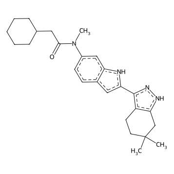 CN(C(=O)CC1CCCCC1)c1ccc2cc(-c3n[nH]c4c3CCC(C)(C)C4)[nH]c2c1